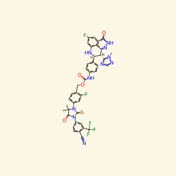 Cn1ncnc1[C@H]1c2n[nH]c(=O)c3cc(F)cc(c23)N[C@@H]1c1ccc(NC(=O)OCc2ccc(N3C(=S)N(c4ccc(C#N)c(C(F)(F)F)c4)C(=O)C3(C)C)cc2F)cc1